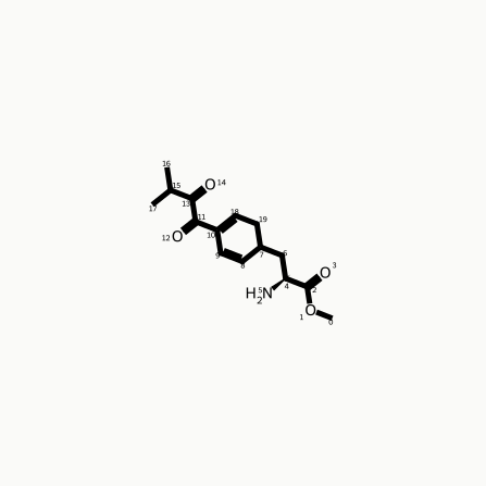 COC(=O)[C@@H](N)CC1C=CC(C(=O)C(=O)C(C)C)=CC1